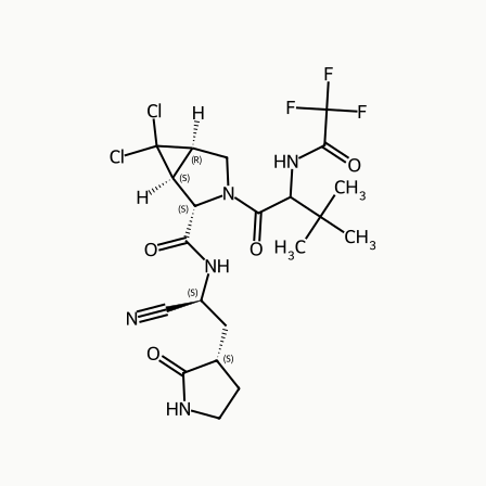 CC(C)(C)C(NC(=O)C(F)(F)F)C(=O)N1C[C@H]2[C@@H]([C@H]1C(=O)N[C@H](C#N)C[C@@H]1CCNC1=O)C2(Cl)Cl